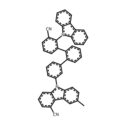 Cc1ccc2c(c1)c1c(C#N)cccc1n2-c1cccc(-c2ccccc2-c2cccc(C#N)c2-n2c3ccccc3c3ccccc32)c1